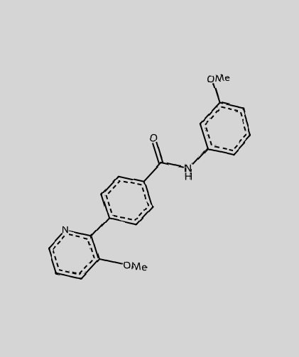 COc1cccc(NC(=O)c2ccc(-c3ncccc3OC)cc2)c1